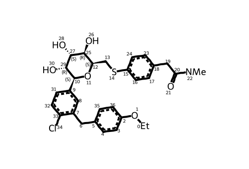 CCOc1ccc(Cc2cc([C@@H]3O[C@H](CSc4ccc(CC(=O)NC)cc4)[C@H](O)[C@@H](O)[C@H]3O)ccc2Cl)cc1